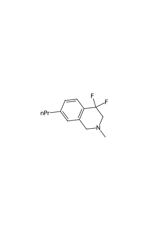 CCCc1ccc2c(c1)CN(C)CC2(F)F